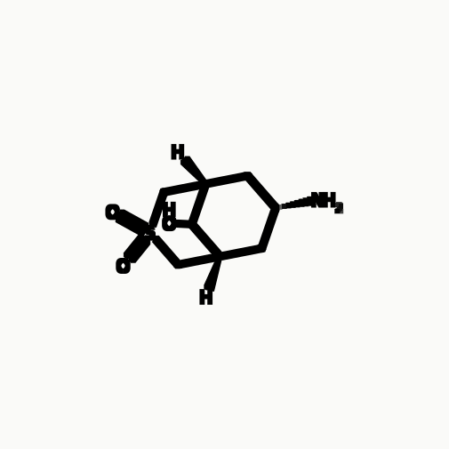 N[C@@H]1C[C@@H]2CS(=O)(=O)C[C@H](C1)C2O